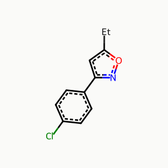 CCc1cc(-c2ccc(Cl)cc2)no1